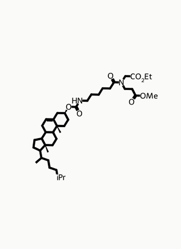 CCOC(=O)CN(CCC(=O)OC)C(=O)CCCCCNC(=O)O[C@H]1CC[C@@]2(C)C(=CCC3C4CCC(C(C)CCCC(C)C)[C@@]4(C)CCC32)C1